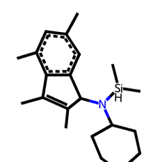 CC1=C(C)C(N(C2CCCCC2)[SiH](C)C)c2cc(C)cc(C)c21